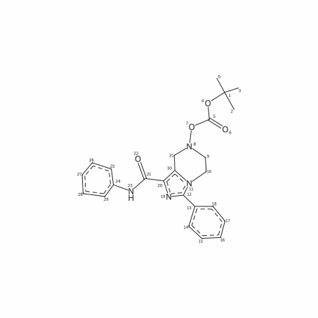 CC(C)(C)OC(=O)ON1CCn2c(-c3ccccc3)nc(C(=O)Nc3ccccc3)c2C1